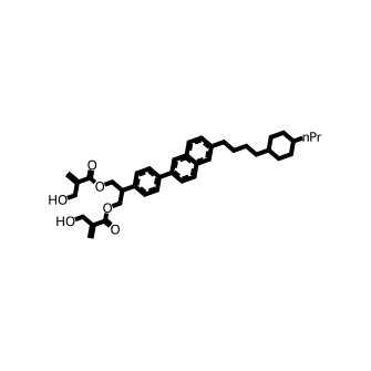 C=C(CO)C(=O)OCC(COC(=O)C(=C)CO)c1ccc(-c2ccc3cc(CCCCC4CCC(CCC)CC4)ccc3c2)cc1